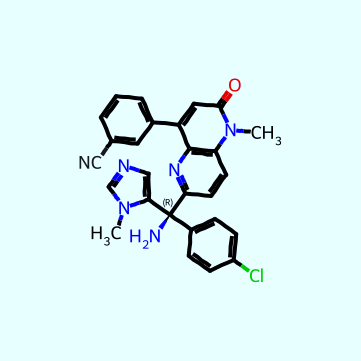 Cn1cncc1[C@@](N)(c1ccc(Cl)cc1)c1ccc2c(n1)c(-c1cccc(C#N)c1)cc(=O)n2C